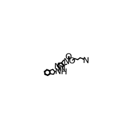 N#CCCCOC(=O)N1Cc2cnc(NC3Cc4ccccc4C3)nc2C1